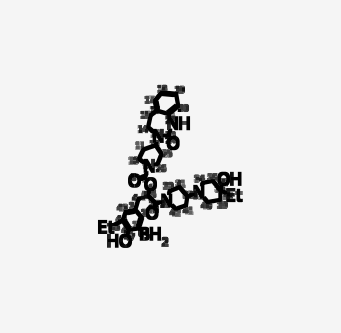 Bc1cc(C[C@@H](OC(=O)N2CCC(N3CCc4ccccc4NC3=O)CC2)C(=O)N2CCC(N3CCC(O)(CC)CC3)CC2)cc(CC)c1O